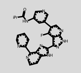 CC(C)C(=O)Nc1cncc(-c2cnc3[nH]nc(-c4nc5c(-c6ccccn6)nccc5[nH]4)c3c2F)c1